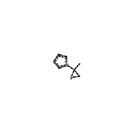 CC1(n2cccc2)CS1